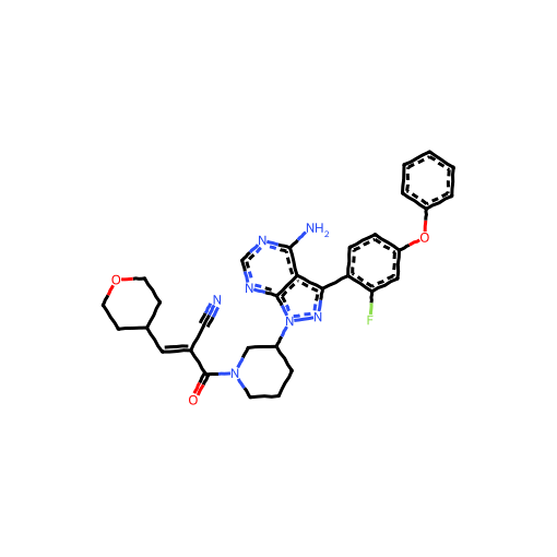 N#CC(=CC1CCOCC1)C(=O)N1CCCC(n2nc(-c3ccc(Oc4ccccc4)cc3F)c3c(N)ncnc32)C1